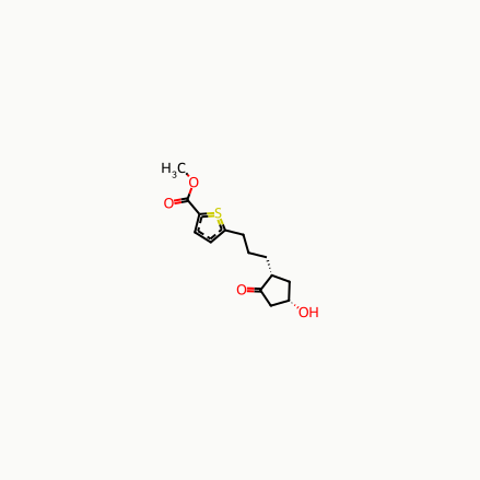 COC(=O)c1ccc(CCC[C@@H]2C[C@H](O)CC2=O)s1